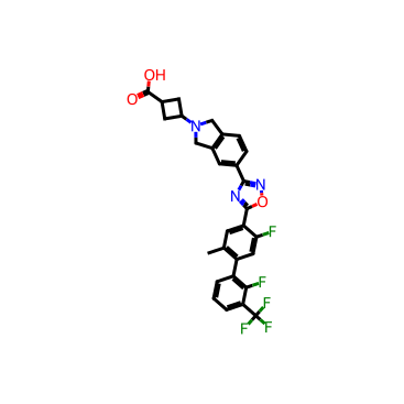 Cc1cc(-c2nc(-c3ccc4c(c3)CN(C3CC(C(=O)O)C3)C4)no2)c(F)cc1-c1cccc(C(F)(F)F)c1F